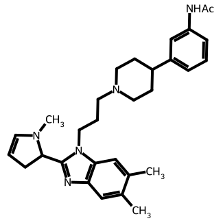 CC(=O)Nc1cccc(C2CCN(CCCn3c(C4CC=CN4C)nc4cc(C)c(C)cc43)CC2)c1